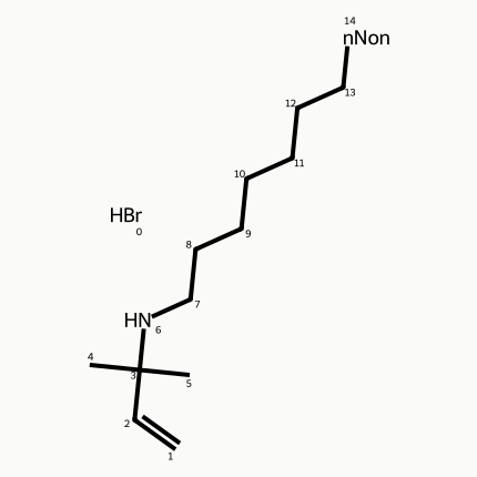 Br.C=CC(C)(C)NCCCCCCCCCCCCCCCC